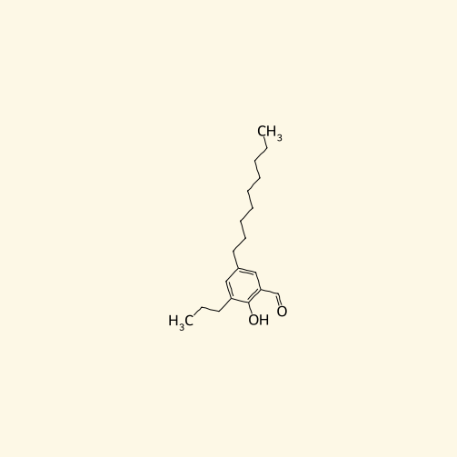 CCCCCCCCCc1cc(C=O)c(O)c(CCC)c1